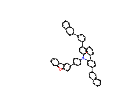 c1ccc(-c2ccc(-c3ccc4ccccc4c3)cc2N(c2ccc(-c3cccc(-c4ccc5ccccc5c4)c3)cc2)c2ccc(-c3ccc4oc5ccccc5c4c3)cc2)cc1